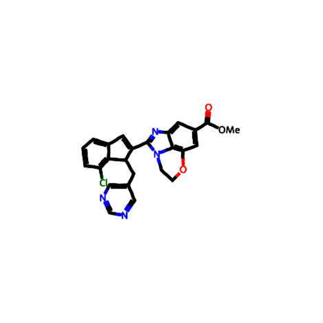 COC(=O)c1cc2c3c(c1)nc(C1=Cc4cccc(Cl)c4C1Cc1cncnc1)n3CCO2